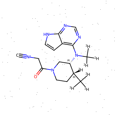 [2H]C([2H])([2H])N(c1ncnc2[nH]ccc12)[C@H]1CN(C(=O)C[N+]#[C-])CC[C@@]1([2H])C([2H])([2H])[2H]